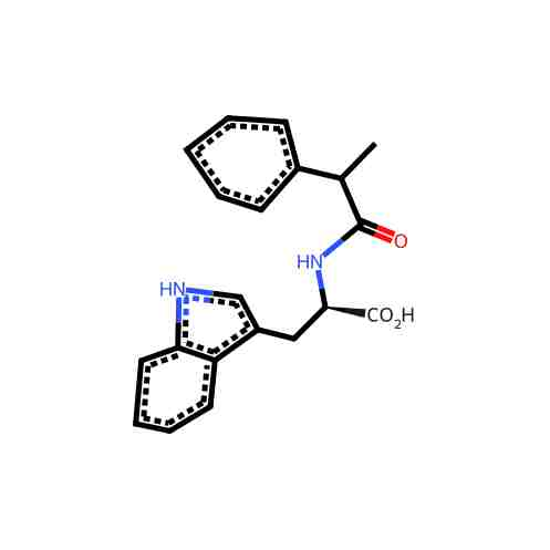 CC(C(=O)N[C@H](Cc1c[nH]c2ccccc12)C(=O)O)c1ccccc1